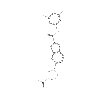 CC(C)C(=O)N1CCC(c2ccc3[nH]c(C(=O)Nc4cc(F)cc(F)c4)cc3c2)C1